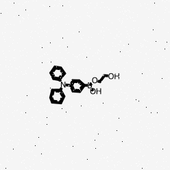 OCCOB(O)c1ccc(N(c2ccccc2)c2ccccc2)cc1